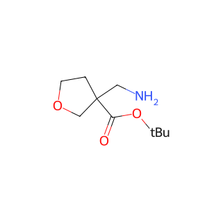 CC(C)(C)OC(=O)C1(CN)CCOC1